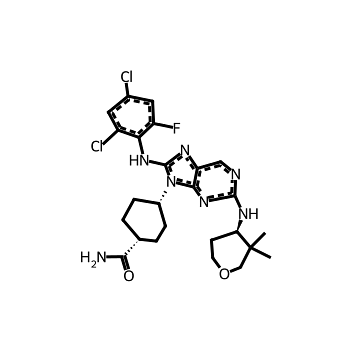 CC1(C)COCC[C@H]1Nc1ncc2nc(Nc3c(F)cc(Cl)cc3Cl)n([C@H]3CC[C@@H](C(N)=O)CC3)c2n1